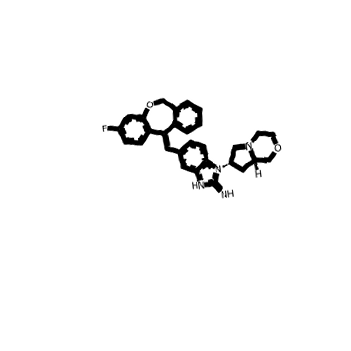 N=c1[nH]c2cc(/C=C3\c4ccccc4COc4cc(F)ccc43)ccc2n1[C@H]1C[C@H]2COCCN2C1